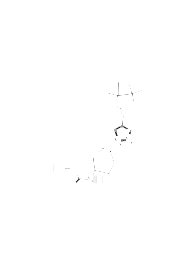 CC(C)(C)OC(=O)NC1CCC(n2cc(B3OC(C)(C)C(C)(C)O3)cn2)CC1